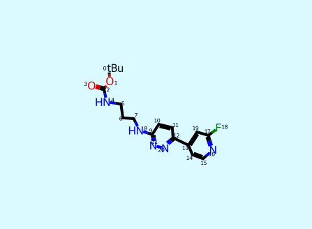 CC(C)(C)OC(=O)NCCCNc1ccc(-c2ccnc(F)c2)nn1